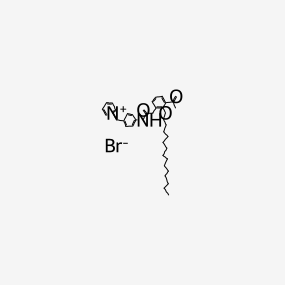 CCCCCCCCCCCCCCOc1c(CC(=O)Nc2ccc(C[n+]3ccccc3)cc2)cccc1C(C)=O.[Br-]